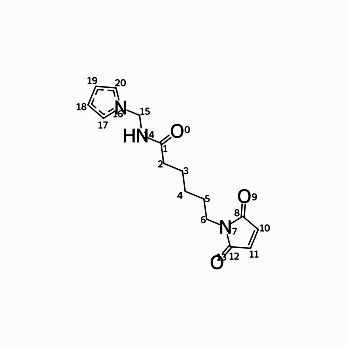 O=C(CCCCCN1C(=O)C=CC1=O)NCn1cccc1